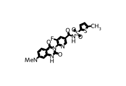 CNc1ccc2c(=O)n(-c3ncc(C(=O)NS(=O)(=O)c4ccc(C)s4)cc3F)c(=O)[nH]c2c1